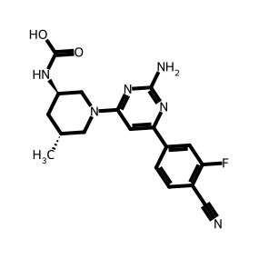 C[C@@H]1C[C@@H](NC(=O)O)CN(c2cc(-c3ccc(C#N)c(F)c3)nc(N)n2)C1